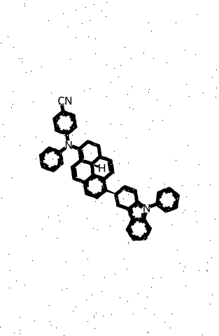 N#Cc1ccc(N(C2=C3C=Cc4ccc([C@H]5C=Cc6c(c7ccccc7n6-c6ccccc6)C5)c5c4[C@H]3C(C=C5)CC2)c2ccccc2)cc1